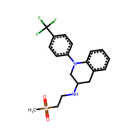 CS(=O)(=O)CCNC1Cc2ccccc2N(c2ccc(C(F)(F)F)cc2)C1